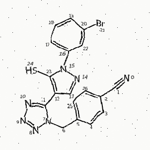 N#Cc1ccc(Cn2nnnc2-c2cnn(-c3cccc(Br)c3)c2S)cc1